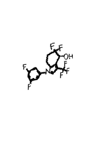 O[C@H]1c2c(C(F)(F)F)cn(-c3cc(F)cc(F)c3)c2CCC1(F)F